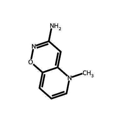 CN1C=CC=C2ON=C(N)C=C21